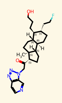 C[C@]12CC[C@H]3[C@@H](CC[C@@H](CCF)[C@@H]3CCCO)[C@@H]1CC[C@@H]2C(=O)Cn1nnc2ccncc21